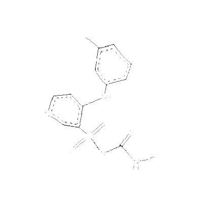 CCCNC(=O)NS(=O)(=O)c1cnccc1Nc1cccc(C)c1